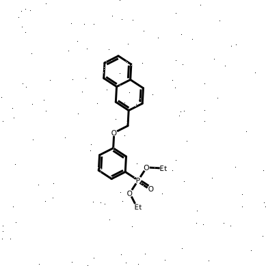 CCOP(=O)(OCC)c1cccc(OCc2ccc3ccccc3c2)c1